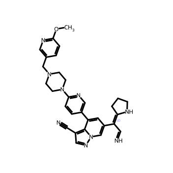 COc1ccc(CN2CCN(c3ccc(-c4cc(/C(C=N)=C5\CCCN5)cn5ncc(C#N)c45)cn3)CC2)cn1